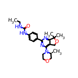 CCNC(=O)Nc1ccc(-c2nc(N3CCOC[C@@H]3C)c3c(n2)C(C)(C)OC3)cc1